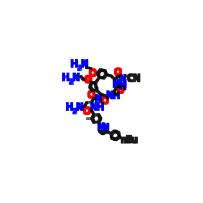 CCCCc1ccc(-c2ccn(-c3ccc(C(=O)NC(CCN)C(=O)N(C)C4C(=O)NC(C)C(=O)NC(C(=O)NCC#N)Cc5ccc(OCCN)c(c5)-c5cc4ccc5OCCN)c(C)c3)n2)cc1